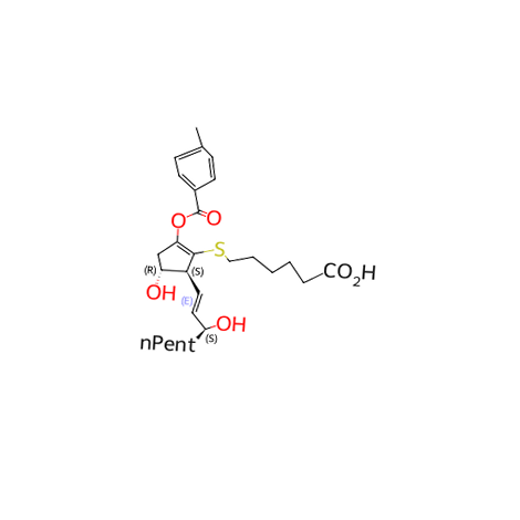 CCCCC[C@H](O)/C=C/[C@@H]1C(SCCCCCC(=O)O)=C(OC(=O)c2ccc(C)cc2)C[C@H]1O